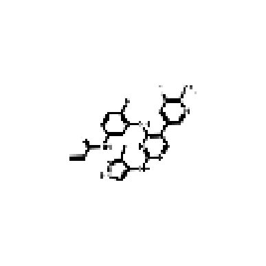 C=CC(=O)Nc1ccc(F)c(Nc2nc(Nc3c[nH]nc3C)ncc2-c2cnc(C(F)(F)F)c(F)c2)c1